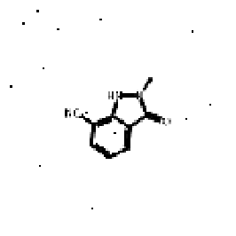 Cn1[nH]c2c(C#N)cccc2c1=O